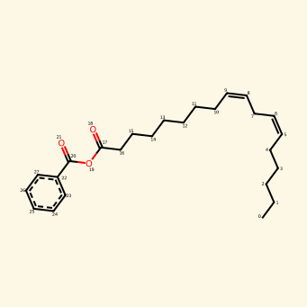 CCCCC/C=C\C/C=C\CCCCCCCC(=O)OC(=O)c1ccccc1